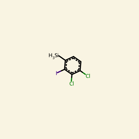 [SiH3]c1ccc(Cl)c(Cl)c1I